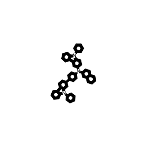 c1ccc(-n2c3ccccc3c3cc(N(c4ccc(-c5ccc6c7ccccc7n(-c7ccccc7)c6c5)cc4)c4ccc5ccccc5c4)ccc32)cc1